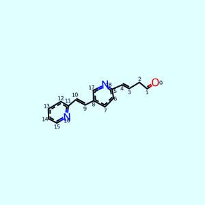 O=CC/C=C/c1ccc(/C=C/c2ccccn2)cn1